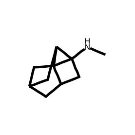 CNC12CC3CC4CC1C32C4